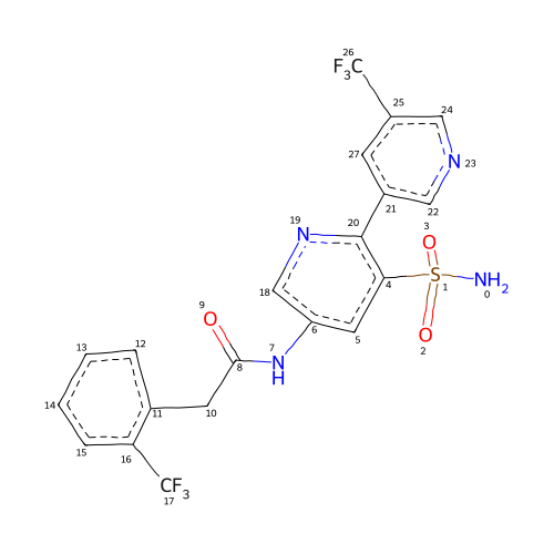 NS(=O)(=O)c1cc(NC(=O)Cc2ccccc2C(F)(F)F)cnc1-c1cncc(C(F)(F)F)c1